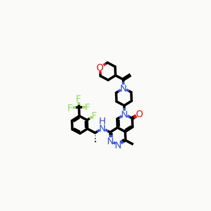 C=C(C1CCOCC1)N1CCC(n2cc3c(N[C@H](C)c4cccc(C(F)(F)F)c4F)nnc(C)c3cc2=O)CC1